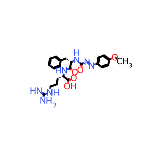 COc1ccc(N=NC(=O)N[C@@H](Cc2ccccc2)C(=O)N[C@@H](CCCNC(=N)N)C(=O)O)cc1